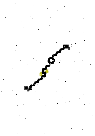 CCCCCCCc1cc2sc(CC[C@H]3CC[C@H](CCCCCCC)CC3)cc2s1